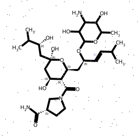 CC(C)/C=C/[C@@H](C[C@@H]1O[C@](O)(C[C@@H](O)C(C)C)C[C@H](O)[C@H]1C(=O)N1CC[C@H](C(N)=O)C1)OC1OC(C)C(O)C(N)C1O